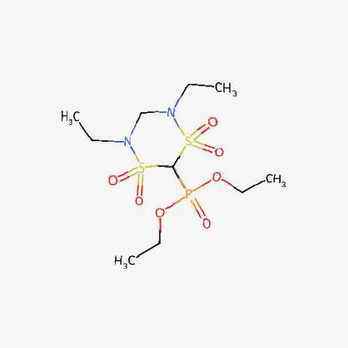 CCOP(=O)(OCC)C1S(=O)(=O)N(CC)CN(CC)S1(=O)=O